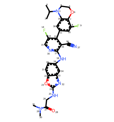 CC(C)N1CCOc2c(F)cc(-c3c(F)cnc(Nc4ccc5oc(NCC(=O)N(C)C)nc5c4)c3C#N)cc21